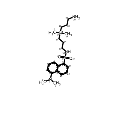 CN(C)c1cccc2c(S(=O)(=O)NCCC[N+](C)(C)CCCN)cccc12